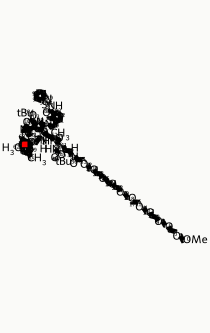 COCCOCCOCCOCCOCCOCCOCCOCCOCCOCCOCCOCC(=O)NCCCC[C@H](NC(=O)OC(C)(C)C)C(=O)N[C@@H](C)C(=O)NCCOC12CC3(C)CC(C)(CC(Cn4ncc(-c5ccc(N6CCc7cccc(C(=O)Nc8nc9ccccc9s8)c7C6)nc5C(=O)OC(C)(C)C)c4C)(C3)C1)C2